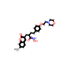 Cc1ccc2cc(CC(CCc3ccc(OCCN4CCOCC4)cc3)C(=O)NO)c(=O)oc2c1